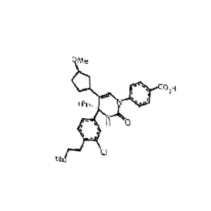 CCC[C@@]1(c2ccc(CCC(C)(C)C)c(Cl)c2)NC(=O)N(c2ccc(C(=O)O)cc2)C=C1C1CCC(OC)C1